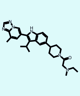 CCN(C)CC(=O)N1CCC(c2ccc3[nH]c(-c4cc(C)c5ncnn5c4)c(C(C)C)c3c2)CC1